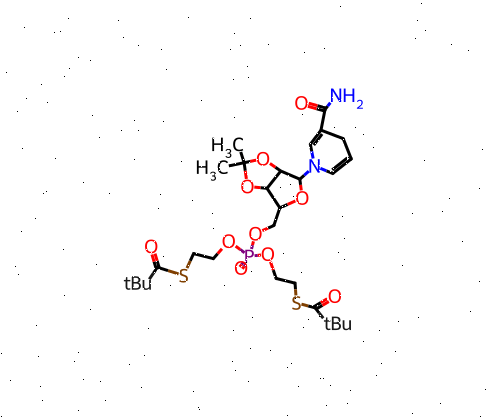 CC1(C)OC2C(COP(=O)(OCCSC(=O)C(C)(C)C)OCCSC(=O)C(C)(C)C)OC(N3C=CCC(C(N)=O)=C3)C2O1